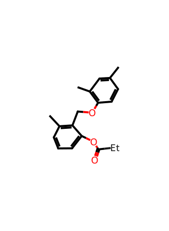 CCC(=O)Oc1cccc(C)c1COc1ccc(C)cc1C